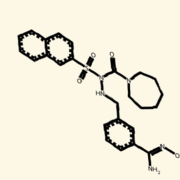 NC(=NO)c1cccc(CNN(C(=O)N2CCCCCC2)S(=O)(=O)c2ccc3ccccc3c2)c1